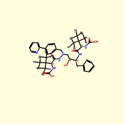 [2H]C([2H])([2H])C([C@H](NC(=O)O)C(=O)N[C@@H](Cc1ccccc1)[C@@H](O)CN(Cc1ccc(-c2ccccn2)cc1)NC(=O)[C@@H](NC(=O)O)C(C([2H])([2H])[2H])(C([2H])([2H])[2H])C([2H])([2H])[2H])(C([2H])([2H])[2H])C([2H])([2H])[2H]